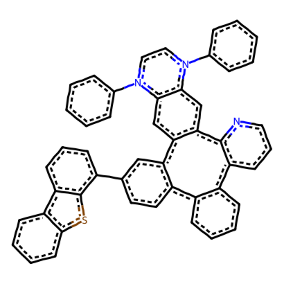 c1ccc(-n2ccn(-c3ccccc3)c3cc4c(cc32)c2cc(-c3cccc5c3sc3ccccc35)ccc2c2ccccc2c2cccnc24)cc1